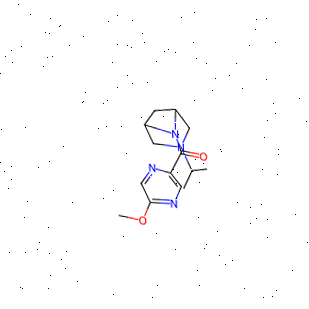 COc1cnc(C(=O)N2C3CC2CN(C(C)C)C3)cn1